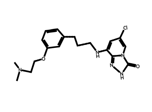 CN(C)CCOc1cccc(CCCNc2cc(Cl)cn3c(=O)[nH]nc23)c1